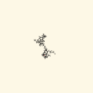 CCCc1cc(C(O)(C(F)(F)F)C(F)(F)F)ccc1OCCCCN1C(=O)NC(C)(c2ccc(OC(F)(F)F)cc2)C1=O